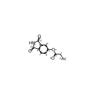 CC(=O)CC(=O)Oc1ccc2c(c1)C(=O)NC2=O